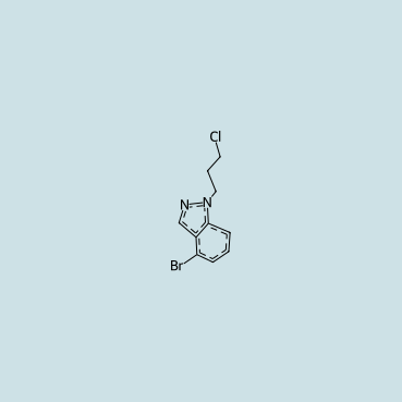 ClCCCn1ncc2c(Br)cccc21